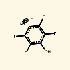 C#N.Oc1c(F)c(F)cc(F)c1F